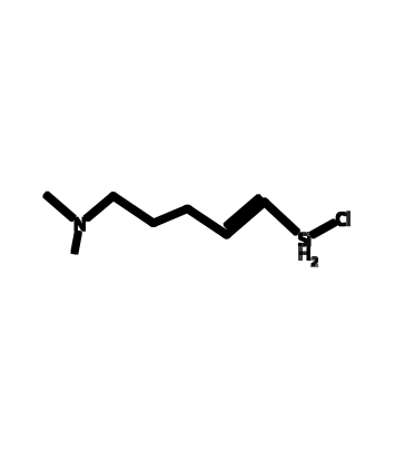 CN(C)CCCC=C[SiH2]Cl